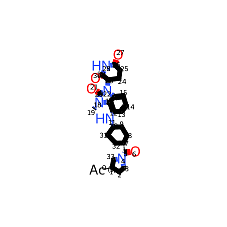 CC(=O)[C@H]1CCN(C(=O)[C@H]2CC[C@H](Nc3cccc4c3n(C)c(=O)n4C3CCC(=O)NC3=O)CC2)C1